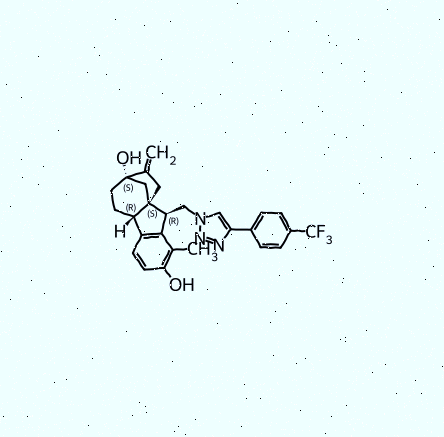 C=C1C[C@]23C[C@@]1(O)CC[C@H]2c1ccc(O)c(C)c1[C@@H]3Cn1cc(-c2ccc(C(F)(F)F)cc2)nn1